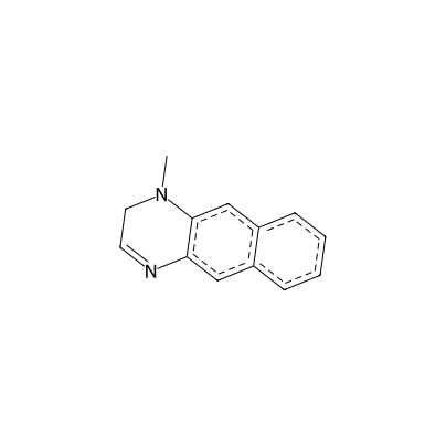 CN1CC=Nc2cc3ccccc3cc21